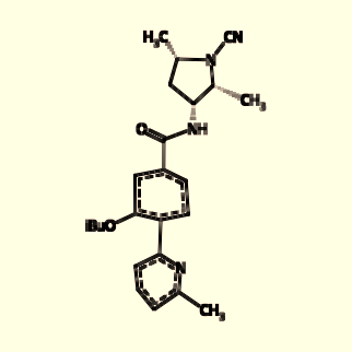 Cc1cccc(-c2ccc(C(=O)N[C@@H]3C[C@H](C)N(C#N)[C@@H]3C)cc2OCC(C)C)n1